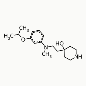 CC(C)Oc1cccc(N(C)CCC2(O)CCNCC2)c1